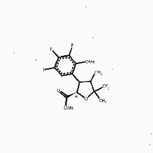 COC(=O)[C@@H]1OC(C)(C(F)(F)F)C(C)C1c1cc(I)c(F)c(F)c1OC